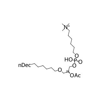 CCCCCCCCCCCCCCCCOC[C@@H](COP(=O)(O)OCCCCCC[N+](C)(C)C)OC(C)=O